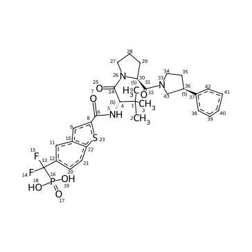 CC(C)(C)[C@H](NC(=O)c1cc2cc(C(F)(F)P(=O)(O)O)ccc2s1)C(=O)N1CCC[C@H]1C(=O)N1CC[C@@H](c2ccccc2)C1